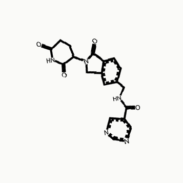 O=C1CCC(N2Cc3cc(CNC(=O)c4cncnc4)ccc3C2=O)C(=O)N1